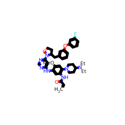 C=CC(=O)Nc1cc(Nc2cc(N3OCCC3Cc3cccc(Oc4cccc(F)c4)c3)ncn2)c(OC)cc1N1CCC(N(CC)CC)CC1